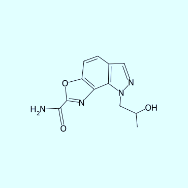 CC(O)Cn1ncc2ccc3oc(C(N)=O)nc3c21